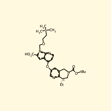 CC[C@H]1CN(C(=O)OC(C)(C)C)Cc2cc(Oc3ccnc4c3cc(C(=O)O)n4COCCS(C)(C)C)cnc21